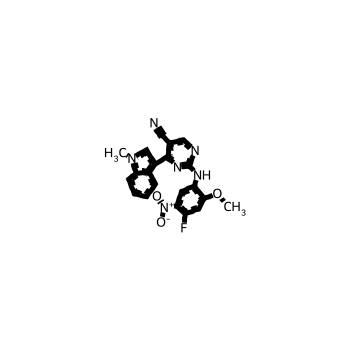 COc1cc(F)c([N+](=O)[O-])cc1Nc1ncc(C#N)c(-c2cn(C)c3ccccc23)n1